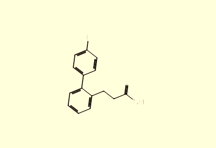 NC(=O)CCc1ccccc1-c1ccc(F)cc1